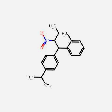 CCC(C(c1ccc(C(C)C)cc1)c1ccccc1C)[N+](=O)[O-]